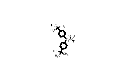 CC(C)(C)c1ccc([I+]c2ccc(C(C)(C)C)cc2)cc1.[O]=[Sb]([F])([F])[F]